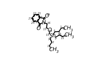 CCC[CH2][Sn]([CH2]CCC)([CH2]CCC)[CH2]OCCN1C(=O)c2ccccc2C1=O